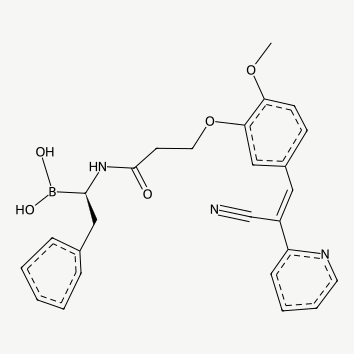 COc1ccc(C=C(C#N)c2ccccn2)cc1OCCC(=O)N[C@@H](Cc1ccccc1)B(O)O